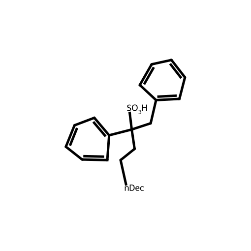 CCCCCCCCCCCCC(Cc1ccccc1)(c1ccccc1)S(=O)(=O)O